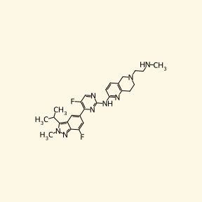 CNCCN1CCc2nc(Nc3ncc(F)c(-c4cc(F)c5nn(C)c(C(C)C)c5c4)n3)ccc2C1